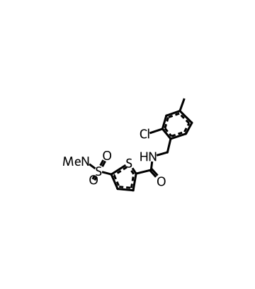 CNS(=O)(=O)c1ccc(C(=O)NCc2ccc(C)cc2Cl)s1